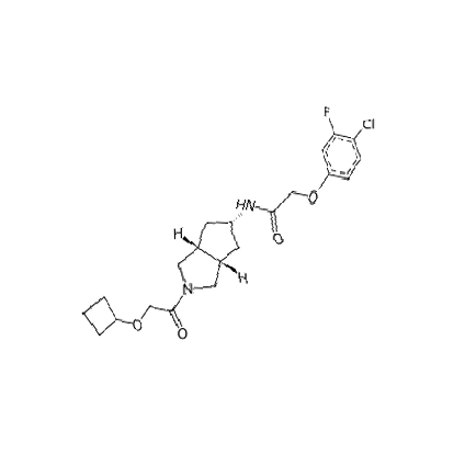 O=C(COc1ccc(Cl)c(F)c1)N[C@@H]1C[C@@H]2CN(C(=O)COC3CCC3)C[C@@H]2C1